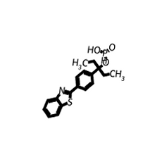 CCC(CC)(O[PH](=O)O)c1ccc(-c2nc3ccccc3s2)cc1